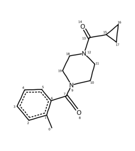 Cc1ccccc1C(=O)N1CCN(C(=O)C2CC2)CC1